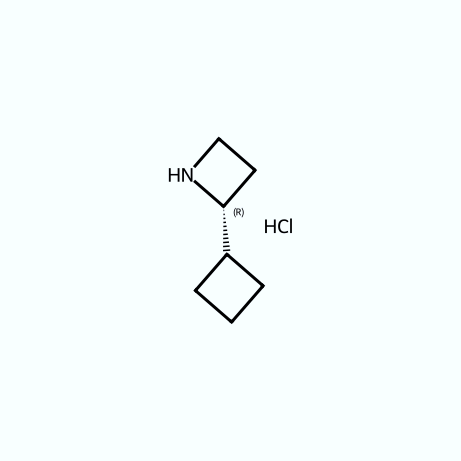 C1CC([C@H]2CCN2)C1.Cl